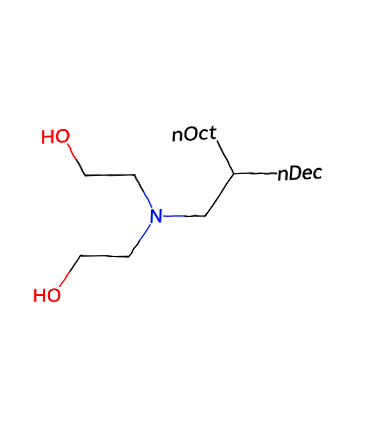 CCCCCCCCCCC(CCCCCCCC)CN(CCO)CCO